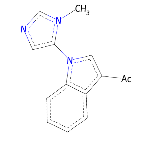 CC(=O)c1cn(-c2cncn2C)c2ccccc12